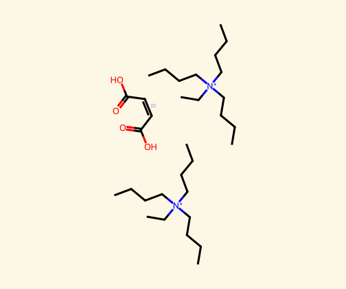 CCCC[N+](CC)(CCCC)CCCC.CCCC[N+](CC)(CCCC)CCCC.O=C(O)/C=C\C(=O)O